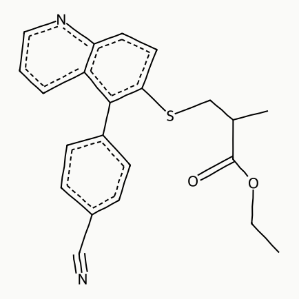 CCOC(=O)C(C)CSc1ccc2ncccc2c1-c1ccc(C#N)cc1